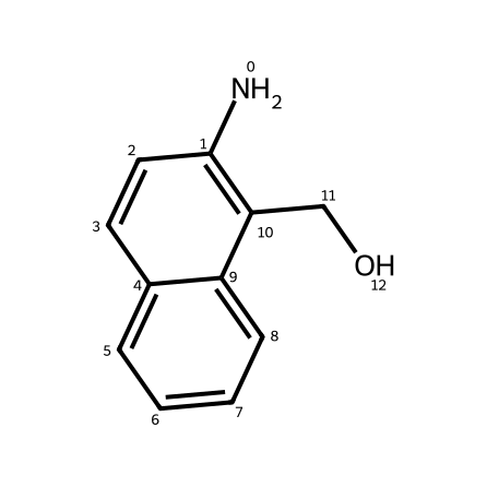 Nc1ccc2ccccc2c1CO